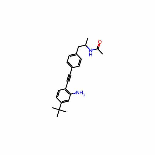 CC(=O)NC(C)Cc1ccc(C#Cc2ccc(C(C)(C)C)cc2N)cc1